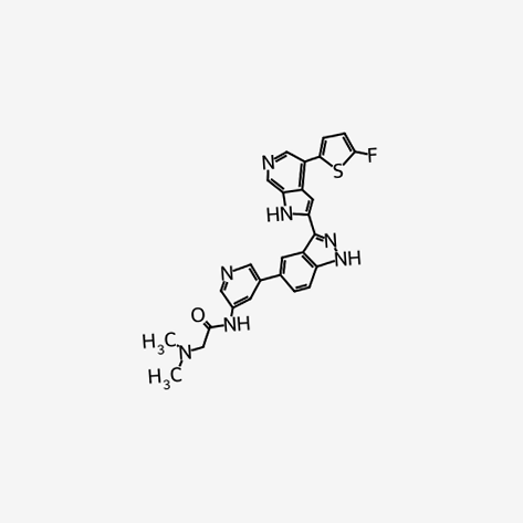 CN(C)CC(=O)Nc1cncc(-c2ccc3[nH]nc(-c4cc5c(-c6ccc(F)s6)cncc5[nH]4)c3c2)c1